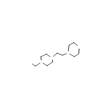 CCN1CCN(CCN2CCOCC2)CC1